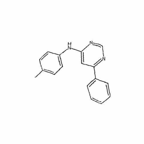 Cc1ccc(Nc2cc(-c3ccccc3)ncn2)cc1